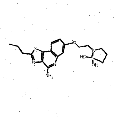 CCCc1nc2c(N)nc3cc(OCCN4CCCS4(O)O)ccc3c2s1